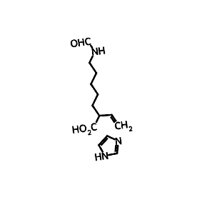 C=CC(CCCCCNC=O)C(=O)O.c1c[nH]cn1